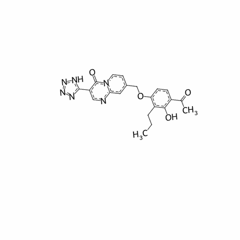 CCCc1c(OCc2ccn3c(=O)c(-c4nnn[nH]4)cnc3c2)ccc(C(C)=O)c1O